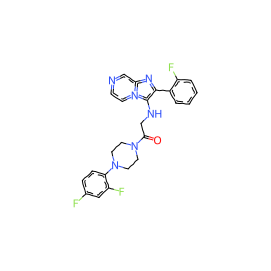 O=C(CNc1c(-c2ccccc2F)nc2cnccn12)N1CCN(c2ccc(F)cc2F)CC1